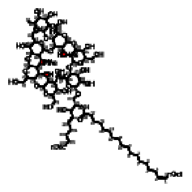 CCCCCCCC/C=C\CCCCCCCCCCCCCCCC(=O)N[C@@H](CO[C@@H]1OC(CO)[C@@H](O[C@@H]2OC(CO)[C@H](O)[C@H](O[C@@H]3OC(CO)[C@@H](O[C@H]4OC(C)[C@@H](O)C(O)[C@@H]4O)[C@H](O[C@@H]4OC(CO)[C@H](O)[C@H](O[C@@H]5OC(CO)[C@@H](O[C@@H]6OC(CO)[C@H](O)[C@H](O)C6O)[C@H](O)C5NC(C)=O)C4O)C3NC(C)=O)C2O)[C@H](O)C1O)[C@H](O)/C=C/CCCCCCCCCCCCC